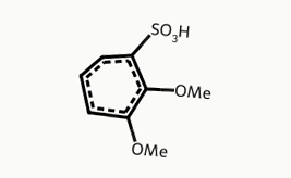 COc1cccc(S(=O)(=O)O)c1OC